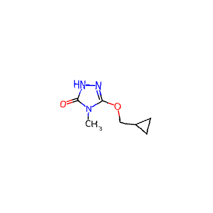 Cn1c(OCC2CC2)n[nH]c1=O